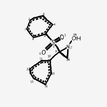 O=S(=O)(c1ccccc1)C1(c2ccccc2)CN1O